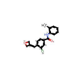 Cc1ccccc1NC(=O)c1ccc(C=C2COC2)c(Cl)c1